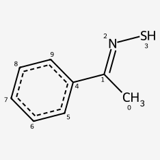 CC(=NS)c1ccccc1